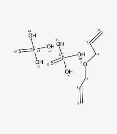 C=CCOCC=C.OP(O)(O)=S.OP(O)(O)=S